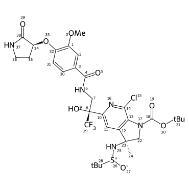 COc1cc(C(=O)NC[C@@](O)(c2cc3c(c(Cl)n2)N(C(=O)OC(C)(C)C)C[C@@]3(C)N[S+]([O-])C(C)(C)C)C(F)(F)F)ccc1O[C@H]1CCNC1=O